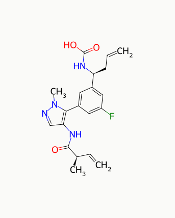 C=CC[C@H](NC(=O)O)c1cc(F)cc(-c2c(NC(=O)[C@H](C)C=C)cnn2C)c1